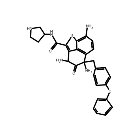 Nc1ccc2c3c(c(C(=O)NC4CCNC4)sc13)C(N)C(=O)C2(N)Cc1ccc(Oc2ccccc2)cc1